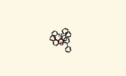 c1ccc(-c2ccc(-c3ccccc3N(c3ccccc3-c3ccccc3)c3ccccc3-c3cccc4oc5cc6ccccc6cc5c34)cc2)cc1